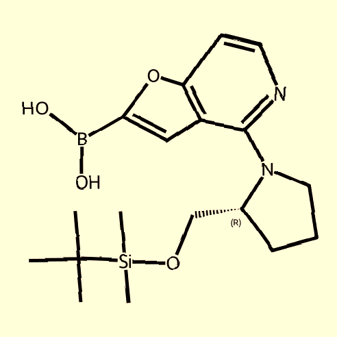 CC(C)(C)[Si](C)(C)OC[C@H]1CCCN1c1nccc2oc(B(O)O)cc12